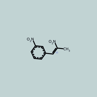 C/C(=C/c1cccc([N+](=O)[O-])c1)[N+](=O)[O-]